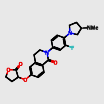 CN[C@@H]1CCN(c2ccc(N3CCc4cc(OC5CCOC5=O)ccc4C3=O)cc2F)C1